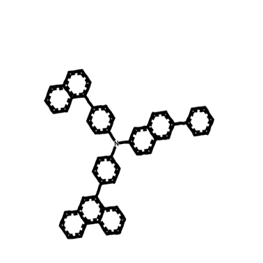 c1ccc(-c2ccc3cc(N(c4ccc(-c5cccc6ccccc56)cc4)c4ccc(-c5cc6ccccc6c6ccccc56)cc4)ccc3c2)cc1